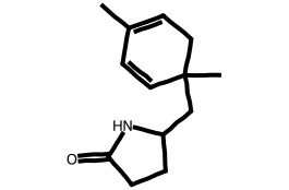 CC1=CCC(C)(CC2CCC(=O)N2)C=C1